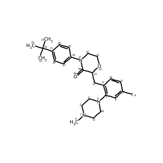 CN1CCN(c2cc(I)ccc2CC2OCCN(c3ccc(C(C)(C)C)cc3)C2=O)CC1